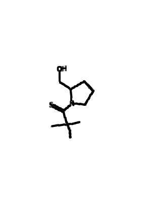 CC(C)(C)C(=S)N1CCCC1CO